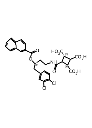 O=C(O[C@@H](CCNC(=O)C1[C@H](C(=O)O)C(C(=O)O)[C@H]1C(=O)O)Cc1ccc(Cl)c(Cl)c1)c1ccc2ccccc2c1